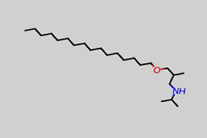 CCCCCCCCCCCCCCCCOCC(C)CNC(C)C